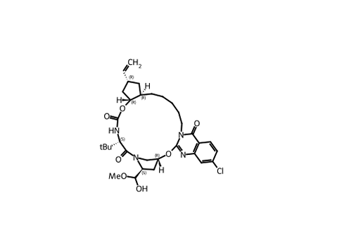 C=C[C@@H]1C[C@H]2CCCCCn3c(nc4cc(Cl)ccc4c3=O)O[C@@H]3C[C@@H](C(O)OC)N(C3)C(=O)[C@H](C(C)(C)C)NC(=O)O[C@@H]2C1